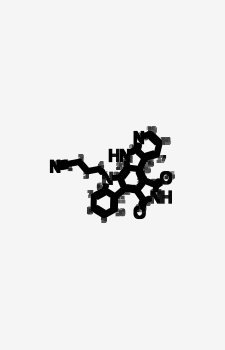 N#CCCCn1c2ccccc2c2c3c(c4c5cccnc5[nH]c4c21)C(=O)NC3=O